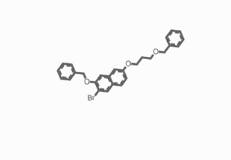 Brc1cc2ccc(OCCCOCc3ccccc3)cc2cc1OCc1ccccc1